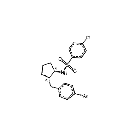 CC(=O)c1ccc(C[C@@H]2CCC[C@H]2NS(=O)(=O)c2ccc(Cl)cc2)cc1